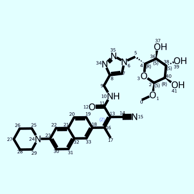 CO[C@H]1O[C@H](Cn2cc(CNC(=O)/C(C#N)=C(/C)c3ccc4cc(N5CCCCC5)ccc4c3)nn2)[C@@H](O)[C@H](O)[C@H]1O